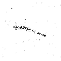 COCCOCCOCCOCCOCCOCCOCCOC(=O)Nc1ccc(C[C@H](N)C(=O)Nc2ccc(C(=O)O)cc2)cc1